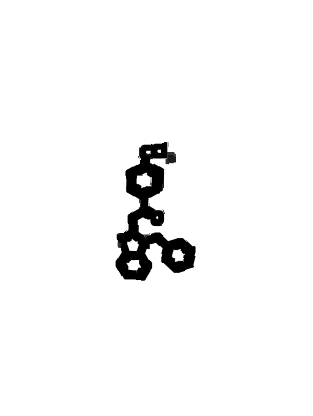 O=C(C=C1Sc2ccccc2N1Cc1ccccc1)c1ccc(C(Cl)(Cl)Cl)cc1